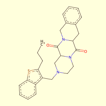 CCCc1sc2ccccc2c1CN1CCN2C(=O)C3Cc4ccccc4CN3C(=O)C2C1